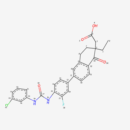 CCC1(CC(=O)O)CCc2cc(-c3ccc(NC(=O)Nc4cccc(Cl)c4)c(F)c3)ccc2C1=O